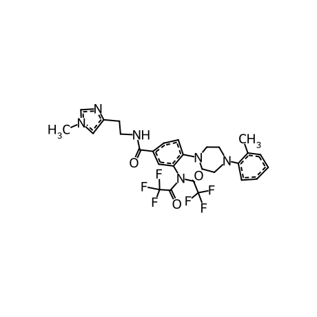 Cc1ccccc1N1CCN(c2ccc(C(=O)NCCc3cn(C)cn3)cc2N(C(=O)C(F)(F)F)C(=O)C(F)(F)F)CC1